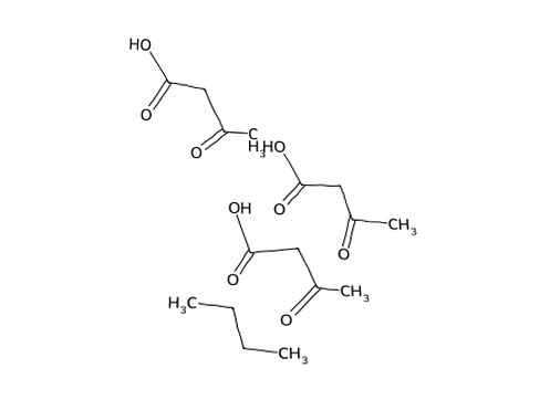 CC(=O)CC(=O)O.CC(=O)CC(=O)O.CC(=O)CC(=O)O.CCCC